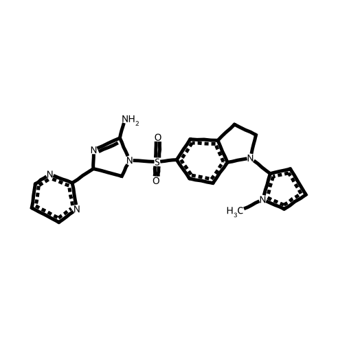 Cn1cccc1N1CCc2cc(S(=O)(=O)N3CC(c4ncccn4)N=C3N)ccc21